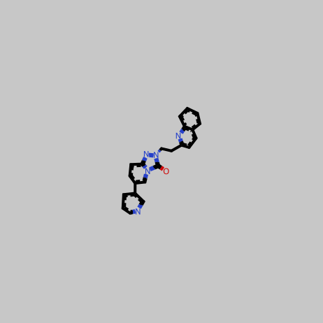 O=c1n(CCc2ccc3ccccc3n2)nc2ccc(-c3cccnc3)cn12